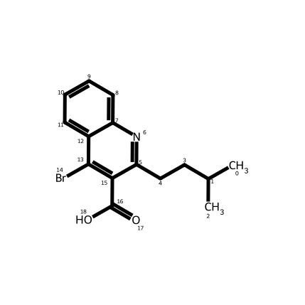 CC(C)CCc1nc2ccccc2c(Br)c1C(=O)O